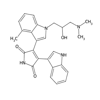 Cc1cccc2c1c(C1=C(c3c[nH]c4ccccc34)C(=O)NC1=O)cn2CC(O)CN(C)C